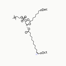 CCCCCCCC/C=C\CCCCCCCCCC(=O)OC[C@H](COP(=O)([O-])OCC[N+](C)(C)C)OC(=O)CCCCCCCCCCCCCCCC